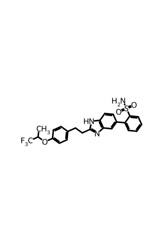 CC(Oc1ccc(CCc2nc3cc(-c4ccccc4S(N)(=O)=O)ccc3[nH]2)cc1)C(F)(F)F